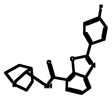 O=C(NC1CN2CCC1CC2)c1cccc2nc(-c3ccc(F)cc3)oc12